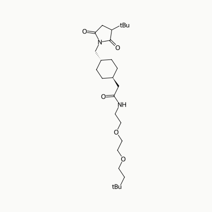 CC(C)(C)CCOCCOCCNC(=O)C[C@H]1CC[C@H](CN2C(=O)CC(C(C)(C)C)C2=O)CC1